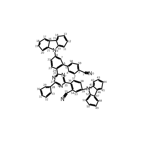 N#Cc1ccc(-c2cc(-n3c4ccccc4c4ccccc43)ccc2-c2nc(-c3ccccc3)nc(-c3ccc(-n4c5ccccc5c5ccccc54)cc3C#N)n2)cc1